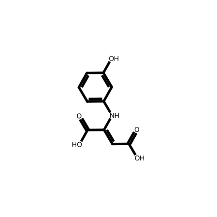 O=C(O)/C=C(\Nc1cccc(O)c1)C(=O)O